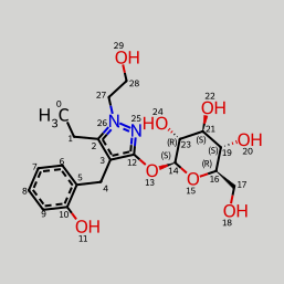 CCc1c(Cc2ccccc2O)c(O[C@@H]2O[C@H](CO)[C@@H](O)[C@H](O)[C@H]2O)nn1CCO